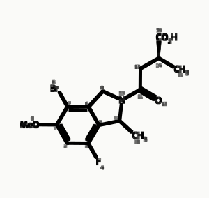 COc1cc(F)c2c(c1Br)CN(C(=O)C[C@H](C)C(=O)O)C2C